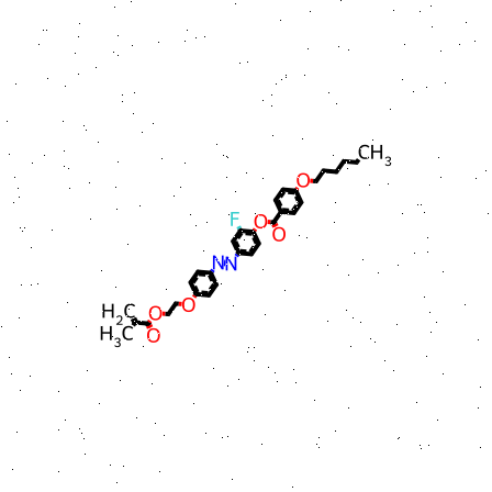 C=C(C)C(=O)OCCOc1ccc(/N=N/c2ccc(OC(=O)c3ccc(OCCCCCC)cc3)c(F)c2)cc1